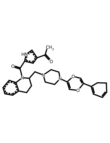 CC(=O)c1c[nH]c(C(=O)N2c3ccccc3CCC2CN2CCN(C3=COC(C4=CC=CCC4)=CO3)CC2)c1